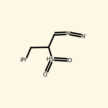 CC(C)CC(C=[N+]=[N-])[SH](=O)=O